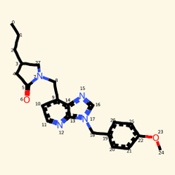 CCCC1CC(=O)N(Cc2ccnc3c2ncn3Cc2ccc(OC)cc2)C1